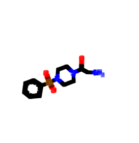 NCC(=O)N1CCN(S(=O)(=O)c2ccccc2)CC1